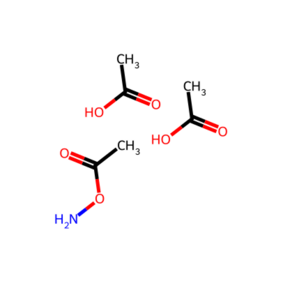 CC(=O)O.CC(=O)O.CC(=O)ON